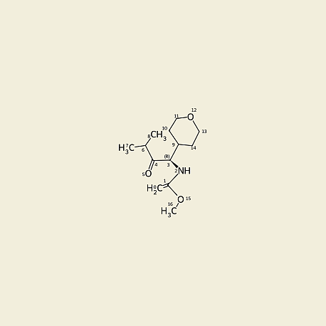 C=C(N[C@@H](C(=O)C(C)C)C1CCOCC1)OC